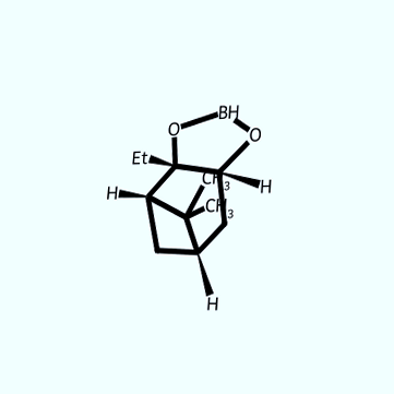 CC[C@@]12OBO[C@@H]1C[C@@H]1C[C@H]2C1(C)C